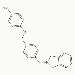 CCCc1ccc(OCc2ccc(CN3Cc4ccccc4C3)cc2)cc1